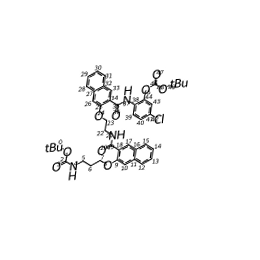 CC(C)(C)OC(=O)NCCCOc1cc2ccccc2cc1C(=O)NCCOc1cc2ccccc2cc1C(=O)Nc1ccc(Cl)cc1OC(=O)OC(C)(C)C